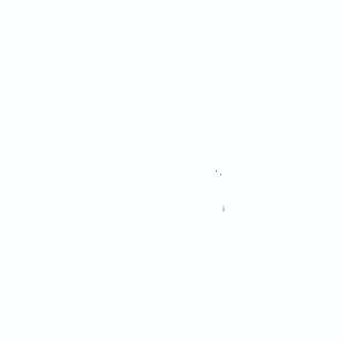 CCOC(=O)c1cn2c(cc1=O)-c1cc(O)c(OCCCCO)cc1CC2C(C)C